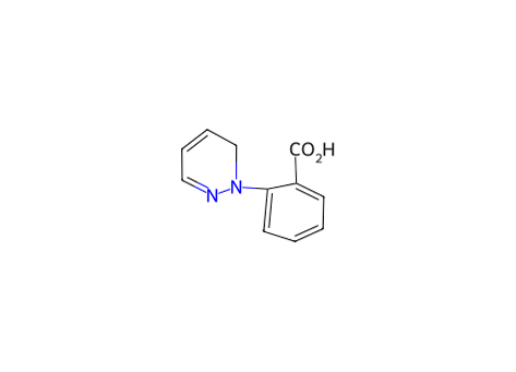 O=C(O)c1ccccc1N1CC=CC=N1